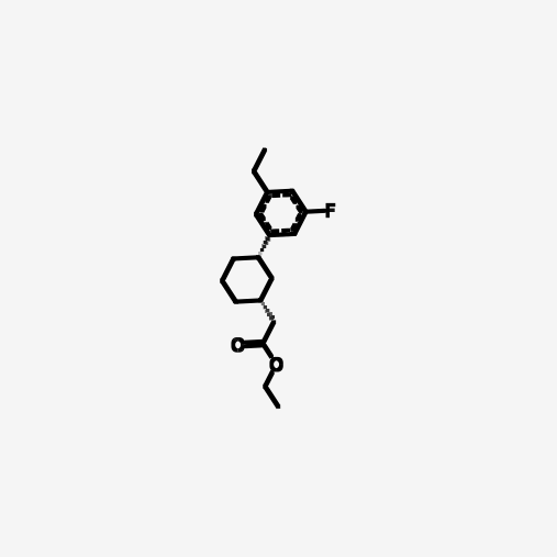 CCOC(=O)C[C@@H]1CCC[C@H](c2cc(F)cc(CC)c2)C1